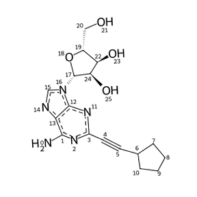 Nc1nc(C#CC2CCCC2)nc2c1ncn2[C@@H]1O[C@H](CO)[C@@H](O)[C@H]1O